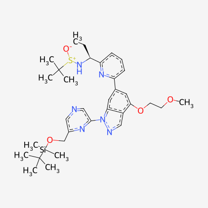 CC[C@H](N[S+]([O-])C(C)(C)C)c1cccc(-c2cc(OCCOC)c3cnn(-c4cncc(CO[Si](C)(C)C(C)(C)C)n4)c3c2)n1